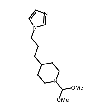 COC(OC)N1CCC(CCCn2ccnc2)CC1